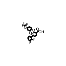 O=C(O)c1ccc(-c2cccc(F)c2F)nc1Oc1ccc(OC(F)(F)F)cc1Cl